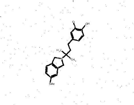 CSc1ccc2c(c1)CN(C(C)(C)CCc1ccc(O)c(Cl)c1)C2